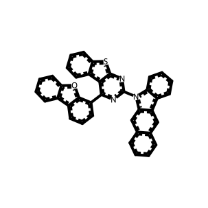 c1ccc2cc3c(cc2c1)c1ccccc1n3-c1nc(-c2cccc3c2oc2ccccc23)c2c(n1)sc1ccccc12